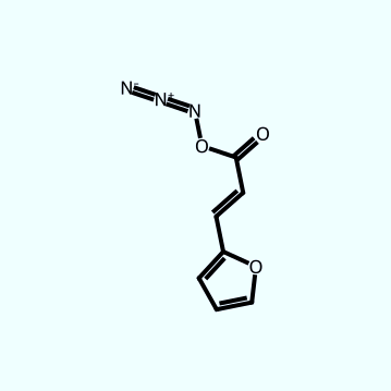 [N-]=[N+]=NOC(=O)C=Cc1ccco1